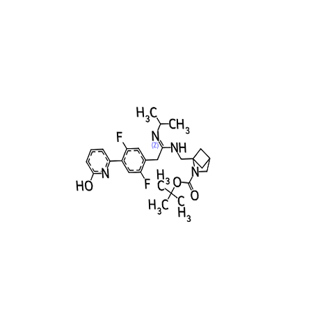 CC(C)/N=C(/Cc1cc(F)c(-c2cccc(O)n2)cc1F)NCC12CC(CN1C(=O)OC(C)(C)C)C2